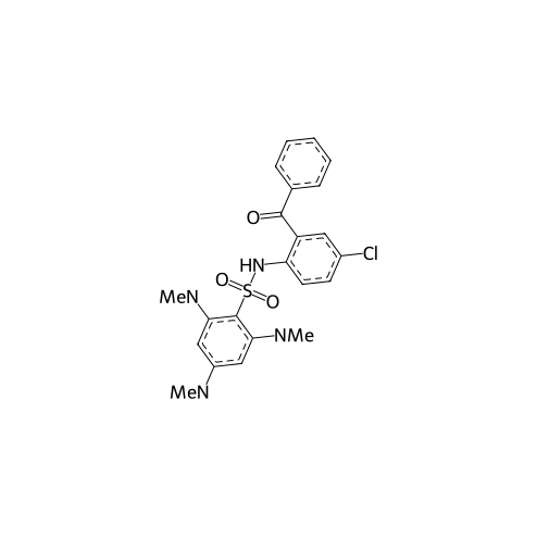 CNc1cc(NC)c(S(=O)(=O)Nc2ccc(Cl)cc2C(=O)c2ccccc2)c(NC)c1